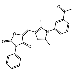 CC(=O)c1cccc(-n2c(C)cc(C=C3OC(=O)N(c4ccccc4)C3=O)c2C)c1